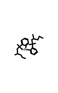 CCCC(C)CC(C)(C)c1ccccc1Nc1ccccc1C(C)(C)CC(C)CCC